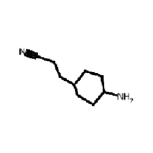 N#CCCC1CCC(N)CC1